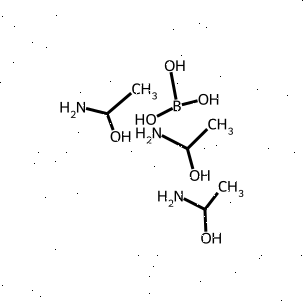 CC(N)O.CC(N)O.CC(N)O.OB(O)O